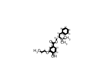 CCCOc1cc(C(=O)OC[C@H](Cc2ccccc2)N(C)C)ccc1O